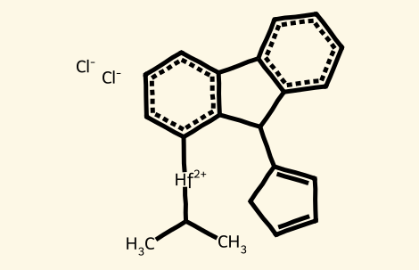 C[CH](C)[Hf+2][c]1cccc2c1C(C1=CC=CC1)c1ccccc1-2.[Cl-].[Cl-]